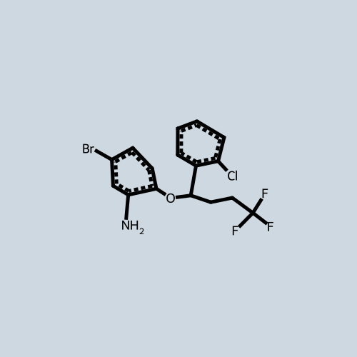 Nc1cc(Br)ccc1OC(CCC(F)(F)F)c1ccccc1Cl